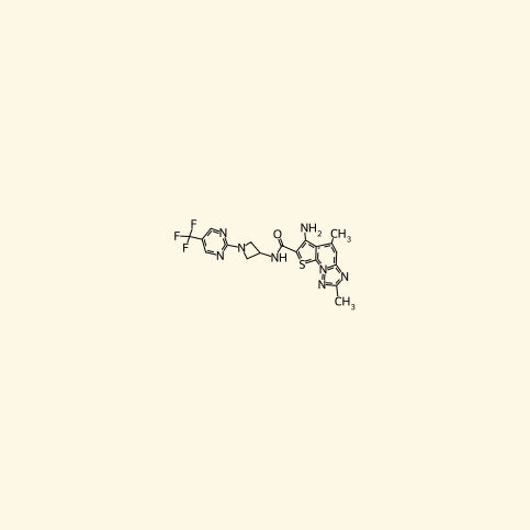 Cc1nc2cc(C)c3c(N)c(C(=O)NC4CN(c5ncc(C(F)(F)F)cn5)C4)sc3n2n1